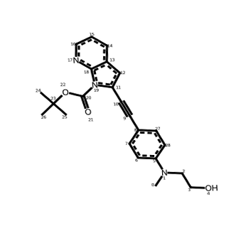 CN(CCO)c1ccc(C#Cc2cc3cccnc3n2C(=O)OC(C)(C)C)cc1